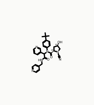 CC(C)(C)c1ccc(N(C(=O)[C@H]2C[C@@H](O)CN2C#N)C(C(=O)NCc2ccncc2)c2cccnc2)cc1